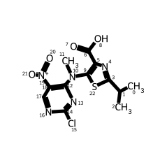 CC(C)c1nc(C(=O)O)c(N(C)c2nc(Cl)ncc2[N+](=O)[O-])s1